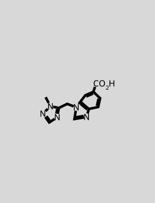 Cn1ncnc1Cn1cnc2ccc(C(=O)O)cc21